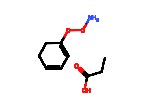 CCC(=O)O.NOOC1=CC=CCC1